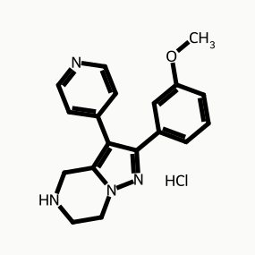 COc1cccc(-c2nn3c(c2-c2ccncc2)CNCC3)c1.Cl